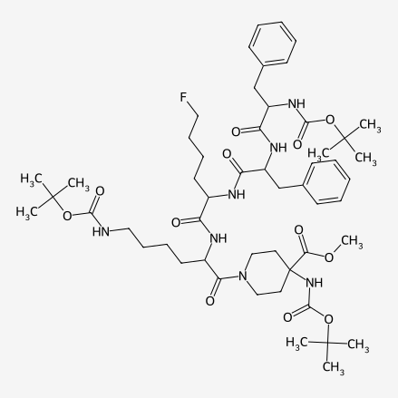 COC(=O)C1(NC(=O)OC(C)(C)C)CCN(C(=O)C(CCCCNC(=O)OC(C)(C)C)NC(=O)C(CCCCF)NC(=O)C(Cc2ccccc2)NC(=O)C(Cc2ccccc2)NC(=O)OC(C)(C)C)CC1